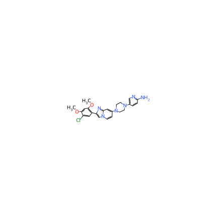 COc1cc(OC)c(-c2cn3ccc(N4CCN(c5ccc(N)nc5)CC4)cc3n2)cc1Cl